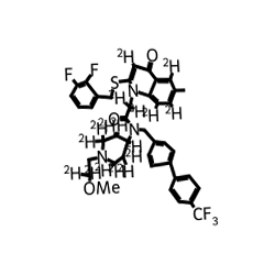 [2H]c1c(C)c([2H])c2c(=O)c([2H])c(SCc3cccc(F)c3F)n(C([2H])([2H])C(=O)N(Cc3ccc(-c4ccc(C(F)(F)F)cc4)cc3)C3([2H])C([2H])([2H])C([2H])([2H])N(CC([2H])([2H])OC)C([2H])([2H])C3([2H])[2H])c2c1[2H]